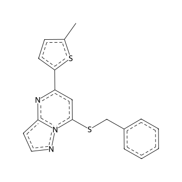 Cc1ccc(-c2cc(SCc3ccccc3)n3nccc3n2)s1